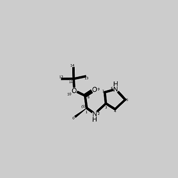 C[C@H](NC1CCNC1)C(=O)OC(C)(C)C